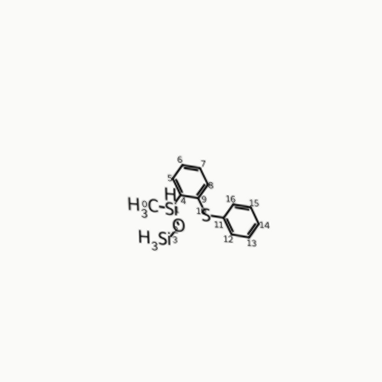 C[SiH](O[SiH3])c1ccccc1Sc1ccccc1